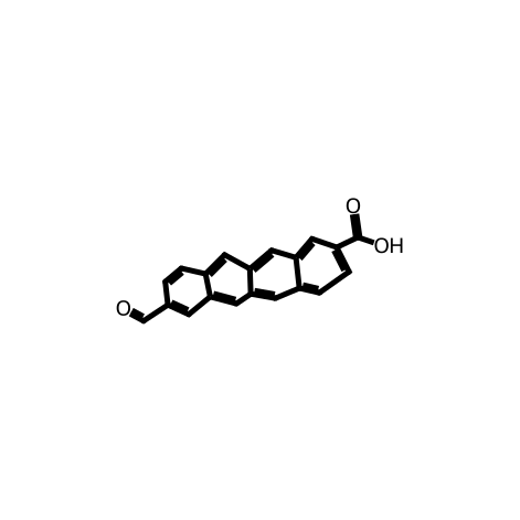 O=Cc1ccc2cc3cc4cc(C(=O)O)ccc4cc3cc2c1